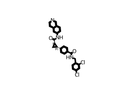 O=C(NCc1ccc(Cl)cc1Cl)c1ccc([C@@H]2C[C@H]2C(=O)Nc2ccc3cnccc3c2)cc1